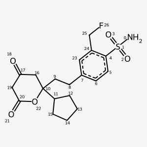 NS(=O)(=O)c1ccc(CCC2(C3CCCC3)CC(=O)CC(=O)O2)cc1CF